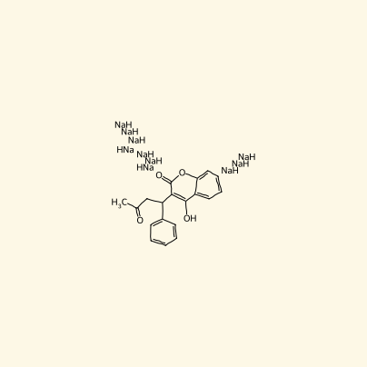 CC(=O)CC(c1ccccc1)c1c(O)c2ccccc2oc1=O.[NaH].[NaH].[NaH].[NaH].[NaH].[NaH].[NaH].[NaH].[NaH].[NaH]